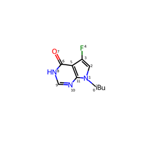 CCC(C)n1cc(F)c2c(=O)[nH]cnc21